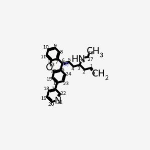 C=CCC(C/C=C1/c2ccccc2Oc2cc(-c3cccnc3)ccc21)NCC